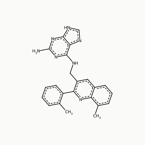 Cc1ccccc1-c1nc2c(C)cccc2cc1CNc1nc(N)nc2[nH]cnc12